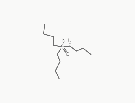 CCCCS(N)(=O)(CCCC)CCCC